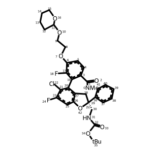 CNC(=O)c1ccc(OCCOC2CCCCO2)c(F)c1-c1c(Cl)c(F)cc2c1C[C@@](CNC(=O)OC(C)(C)C)(c1ccccc1)O2